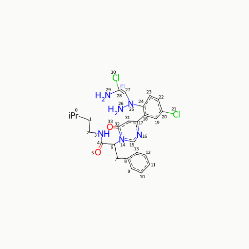 CC(C)CCNC(=O)C(Cc1ccccc1)n1cnc(-c2cc(Cl)ccc2N(N)/C=C(\N)Cl)cc1=O